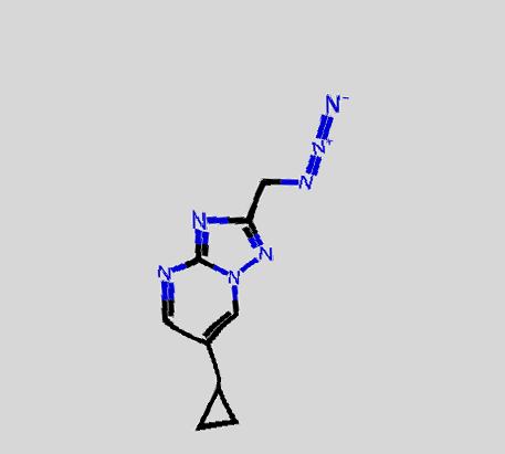 [N-]=[N+]=NCc1nc2ncc(C3CC3)cn2n1